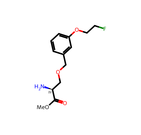 COC(=O)[C@@H](N)COCc1cccc(OCCF)c1